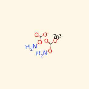 NOC(=O)[O-].NOC(=O)[O-].[Zn+2]